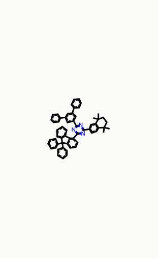 CC1(C)CCC(C)(C)c2cc(-c3nc(-c4cc(-c5ccccc5)cc(-c5ccccc5)c4)nc(-c4cccc5c4-c4ccccc4C5(c4ccccc4)c4ccccc4)n3)ccc21